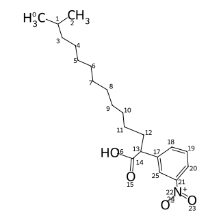 CC(C)CCCCCCCCCCC(C(=O)O)c1cccc([N+](=O)[O-])c1